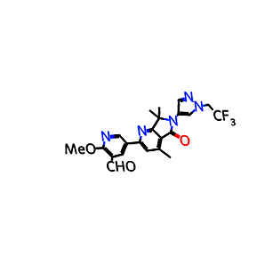 COc1ncc(-c2cc(C)c3c(n2)C(C)(C)N(c2cnn(CC(F)(F)F)c2)C3=O)cc1C=O